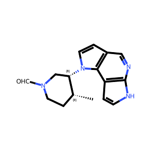 C[C@@H]1CCN(C=O)C[C@@H]1n1ccc2cnc3[nH]ccc3c21